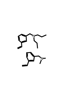 C=Cc1cccc(CN(C)C)c1.C=Cc1cccc(CN(CCC)CCC)c1